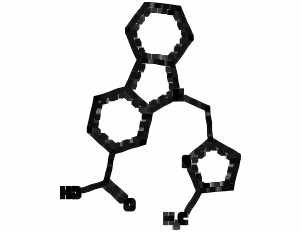 Cc1ccc(Cn2c3ccccc3c3ccc(C(=O)O)cc32)s1